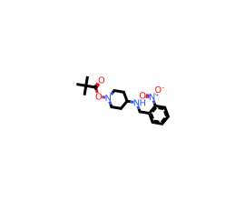 CC(C)(C)C(=O)ON1CCC(NCc2ccccc2[N+](=O)[O-])CC1